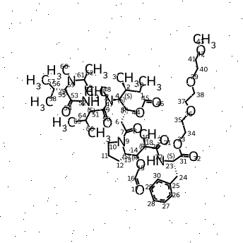 CC[C@H](C)[C@@H]([C@@H](CC(=O)N1CCC[C@H]1[C@H](OC=O)[C@@H](C)C(=O)N[C@@H](Cc1ccccc1)C(=O)OCCOCCOCCOC)OC=O)N(C)C(=O)[C@@H](NC(=O)[C@H](C(C)C)N(C)C(C)C)C(C)C